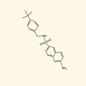 CC(C)(C)c1ccc(CNS(=O)(=O)c2ccc3cc(N)ccc3c2)cc1